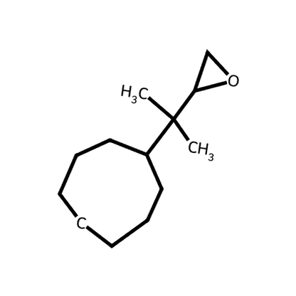 CC(C)(C1CCCCCCC1)C1CO1